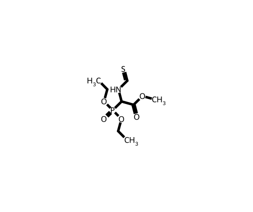 CCOP(=O)(OCC)C(NC=S)C(=O)OC